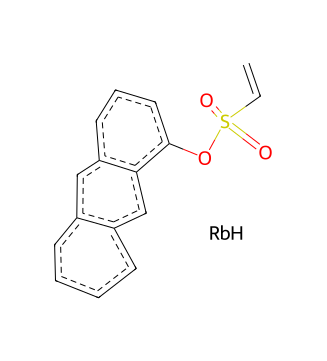 C=CS(=O)(=O)Oc1cccc2cc3ccccc3cc12.[RbH]